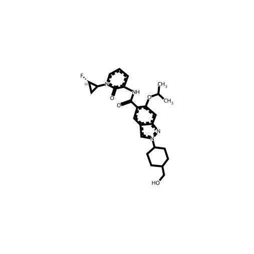 CC(C)Oc1cc2nn(C3CCC(CO)CC3)cc2cc1C(=O)Nc1cccn(C2C[C@@H]2F)c1=O